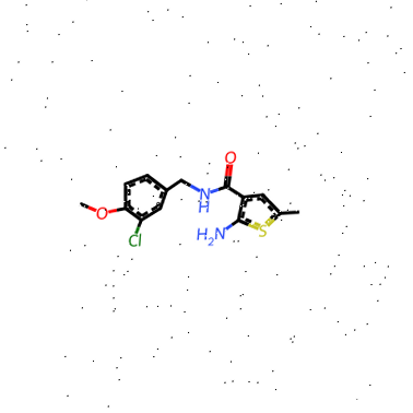 COc1ccc(CNC(=O)c2cc(C)sc2N)cc1Cl